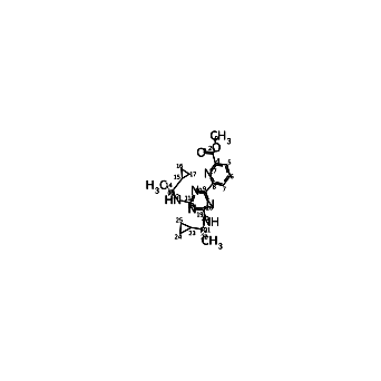 COC(=O)c1cccc(-c2nc(N[C@H](C)C3CC3)nc(N[C@H](C)C3CC3)n2)n1